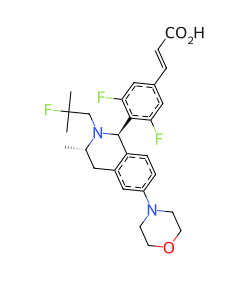 C[C@H]1Cc2cc(N3CCOCC3)ccc2[C@H](c2c(F)cc(/C=C/C(=O)O)cc2F)N1CC(C)(C)F